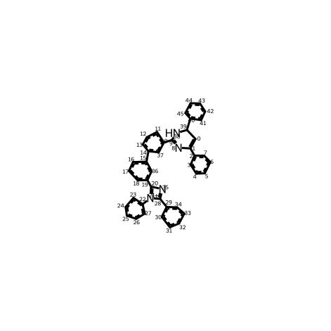 C1=C(c2ccccc2)N=C(c2cccc(-c3cccc(C4=[N+](c5ccccc5)C(c5ccccc5)=N4)c3)c2)NC1c1ccccc1